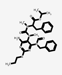 CCCSc1nc(N)c(N(C)C(=O)N(C)C(Cc2ccccc2)C(=O)OC(C)C)c(N(C=O)Cc2ccccc2)n1